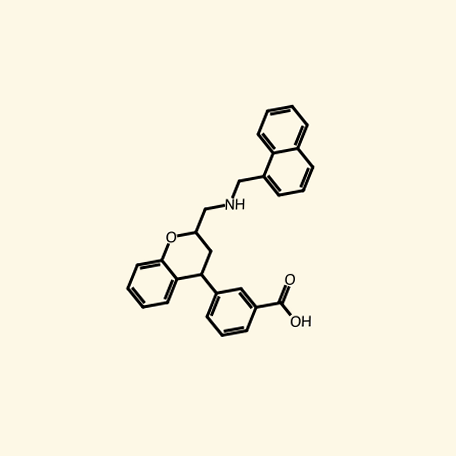 O=C(O)c1cccc(C2CC(CNCc3cccc4ccccc34)Oc3ccccc32)c1